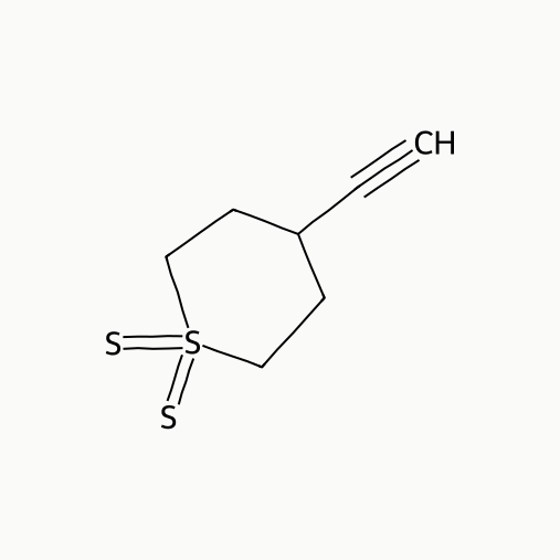 C#CC1CCS(=S)(=S)CC1